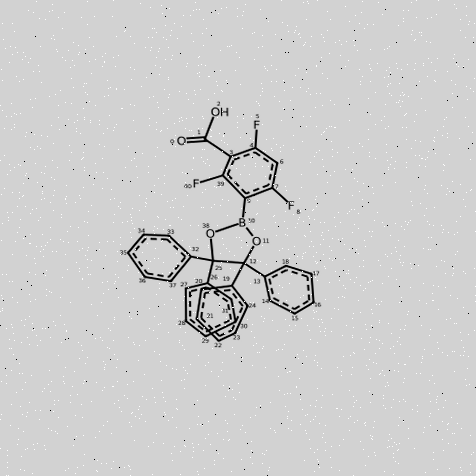 O=C(O)c1c(F)cc(F)c(B2OC(c3ccccc3)(c3ccccc3)C(c3ccccc3)(c3ccccc3)O2)c1F